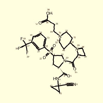 N#CC1(NC(=O)[C@@H]2C[C@@H](S(=O)(=O)c3cccc(C(F)(F)F)c3)CN2C(=O)C2CCN2C2CCN(CCC(=O)O)CC2)CC1